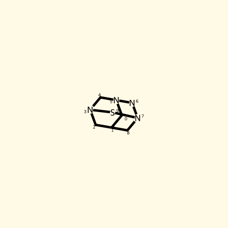 C1C2CN3CN1[N]N(C2)S3